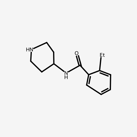 CCc1ccccc1C(=O)NC1CCNCC1